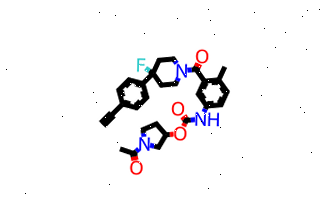 C#Cc1ccc(C2(F)CCN(C(=O)c3cc(NC(=O)OC4CCN(C(C)=O)C4)ccc3C)CC2)cc1